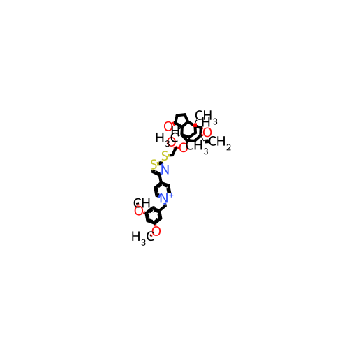 C=C[C@]12C[C@@H](OC(=O)CSc3nc(-c4cc[n+](Cc5cc(OC)cc(OC)c5)cc4)cs3)[C@]3(C)[C@H](C)CC[C@]4(CCC(=O)[C@H]43)[C@@H](C)[C@@H]1O2